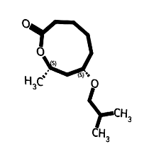 CC(C)CO[C@H]1CCCCC(=O)O[C@@H](C)C1